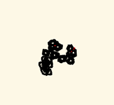 O=S(=O)([O-])OOS(=O)(=O)[O-].c1ccc(C[P+](c2ccccc2)(c2ccccc2)c2ccccc2)cc1.c1ccc(C[P+](c2ccccc2)(c2ccccc2)c2ccccc2)cc1